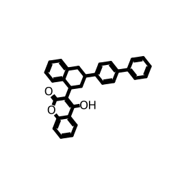 O=c1oc2ccccc2c(O)c1C1CC(c2ccc(-c3ccccc3)cc2)Cc2ccccc21